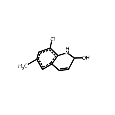 Cc1cc(Cl)c2c(c1)C=CC(O)N2